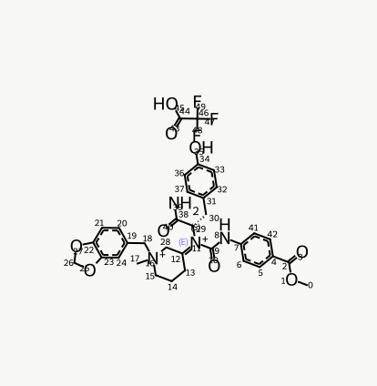 COC(=O)c1ccc(NC(=O)/[N+](=C2\CCC[N+](C)(Cc3ccc4c(c3)OCO4)C2)[C@@H](Cc2ccc(O)cc2)C(N)=O)cc1.O=C(O)C(F)(F)F